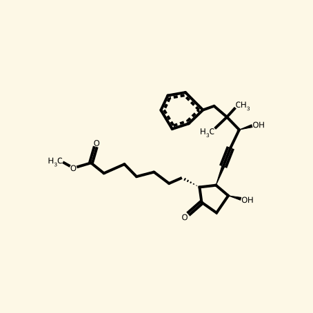 COC(=O)CCCCCC[C@H]1C(=O)C[C@H](O)[C@@H]1C#C[C@H](O)C(C)(C)Cc1ccccc1